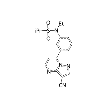 CCN(c1cccc(-c2ccnc3c(C#N)cnn23)c1)S(=O)(=O)C(C)C